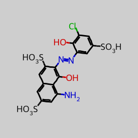 Nc1cc(S(=O)(=O)O)cc2cc(S(=O)(=O)O)c(N=Nc3cc(S(=O)(=O)O)cc(Cl)c3O)c(O)c12